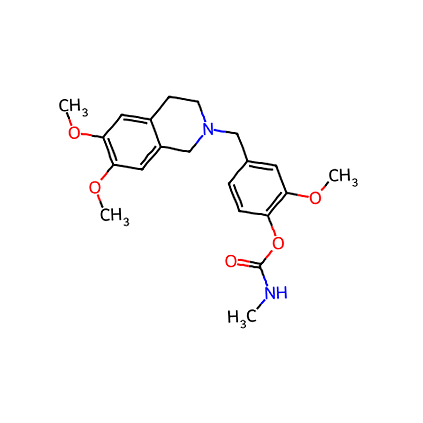 CNC(=O)Oc1ccc(CN2CCc3cc(OC)c(OC)cc3C2)cc1OC